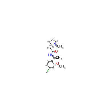 COc1cc(F)ccc1C(C)NC(=O)C[C@@H]1CCCN1C